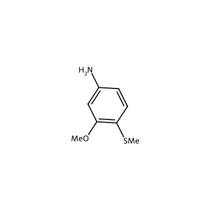 COc1cc(N)ccc1SC